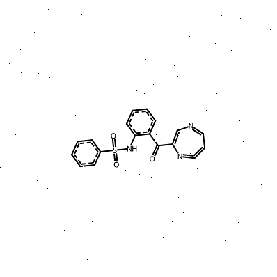 O=C(C1=CN=CC=C=N1)c1ccccc1NS(=O)(=O)c1ccccc1